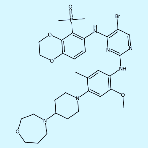 COc1cc(N2CCC(N3CCCOCC3)CC2)c(C)cc1Nc1ncc(Br)c(Nc2ccc3c(c2P(C)(C)=O)OCCO3)n1